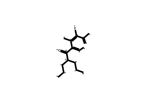 C=C(C)/C(F)=C(C)\C(=C/C)C(=O)C(CCC)CCC